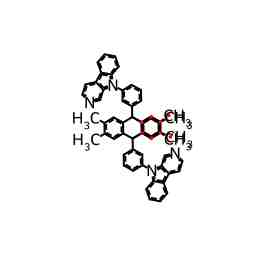 Cc1cc2c(cc1C)C1(c3cccc(-n4c5ccccc5c5ccncc54)c3)c3cc(C)c(C)cc3C2(c2cccc(-n3c4ccccc4c4ccncc43)c2)c2cc(C)c(C)cc21